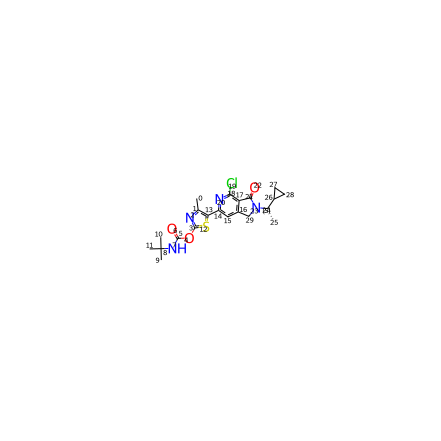 Cc1nc(OC(=O)NC(C)(C)C)sc1-c1cc2c(c(Cl)n1)C(=O)N([C@@H](C)C1CC1)C2